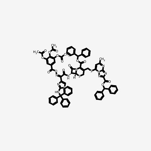 CC(=O)Oc1cc(C(=O)O/N=C(\C(=O)N[C@@H]2C(=O)N3C(C(=O)OC(c4ccccc4)c4ccccc4)=C(CSc4cc(C)nc5nc(C(=O)OC(c6ccccc6)c6ccccc6)nn45)CS[C@H]23)c2csc(NC(c3ccccc3)(c3ccccc3)c3ccccc3)n2)cc(OC(C)=O)c1OC(C)=O